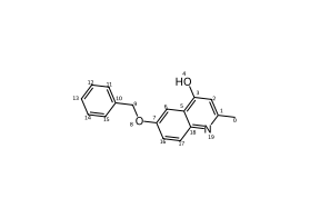 Cc1cc(O)c2cc(OCc3ccccc3)ccc2n1